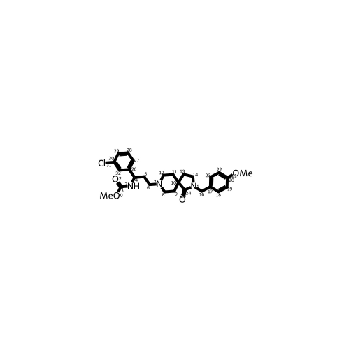 COC(=O)NC(CCN1CCC2(CC1)CCN(Cc1ccc(OC)cc1)C2=O)c1cccc(Cl)c1